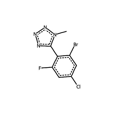 Cn1nnnc1-c1c(F)cc(Cl)cc1Br